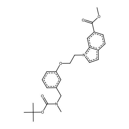 COC(=O)c1ccc2ccn(CCOc3cccc(CN(C)C(=O)OC(C)(C)C)c3)c2c1